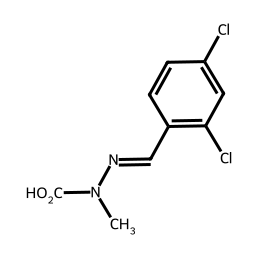 CN(N=Cc1ccc(Cl)cc1Cl)C(=O)O